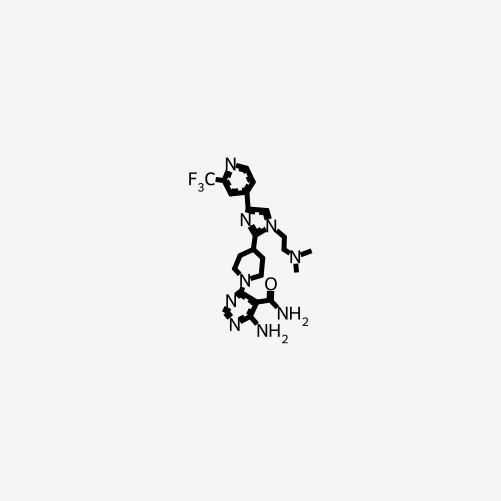 CN(C)CCn1cc(-c2ccnc(C(F)(F)F)c2)nc1C1CCN(c2ncnc(N)c2C(N)=O)CC1